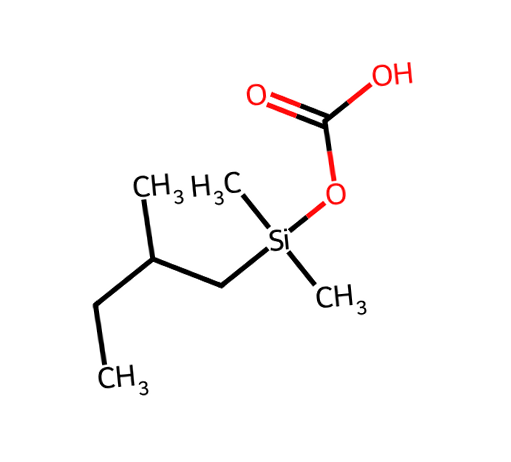 CCC(C)C[Si](C)(C)OC(=O)O